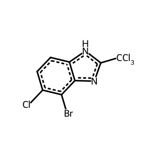 Clc1ccc2[nH]c(C(Cl)(Cl)Cl)nc2c1Br